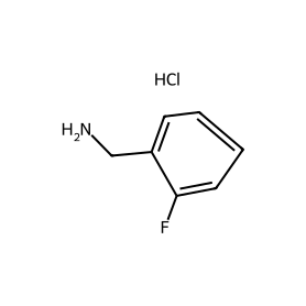 Cl.NCc1ccccc1F